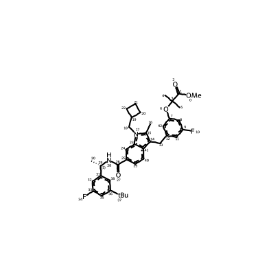 COC(=O)C(C)(C)Oc1cc(F)cc(Cc2c(C)n(CC3CCC3)c3cc(C(=O)N[C@@H](C)c4cc(F)cc(C(C)(C)C)c4)ccc23)c1